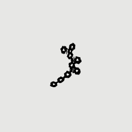 c1ccc(-c2ccc(-c3ccc(-n4c5ccccc5c5c6c7ccccc7n(-c7ccc8c(c7)c7ccccc7n8-c7ccccc7)c6ccc54)cc3)cc2)cc1